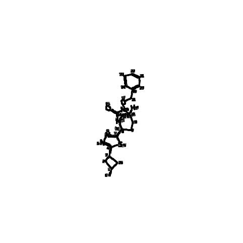 C[C@H]1C[C@@H](c2nnc([C@@H]3CC[C@@H]4CN3C(=O)N4OCc3ccccc3)s2)C1